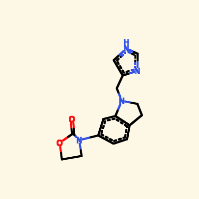 O=C1OCCN1c1ccc2c(c1)N(Cc1c[nH]cn1)CC2